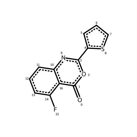 O=c1oc(-c2cccs2)nc2cccc(F)c12